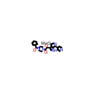 COc1cnc(-c2ccncc2)c2[nH]cc(C(=O)C(=O)N3CCN(C(=O)c4ccccc4)CC3)c12